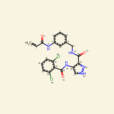 C=CC(=O)Nc1cccc(CNC(=O)c2n[nH]cc2NC(=O)c2c(Cl)cccc2Cl)c1